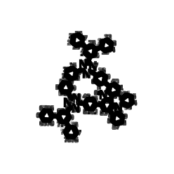 Cn1c2c(-c3ccc(-c4nc(-c5ccccc5)nc(-c5cc(-c6ccccc6)cc(-c6ccccc6)c5)n4)cc3)cccc2c2c1c(-c1ccc(-c3nc(-c4ccccc4)nc(-c4cc(-c5ccccc5)cc(-c5ccccc5)c4)n3)cc1)cc1c3ccccc3n(-c3ccccc3)c12